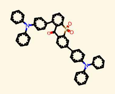 O=C1c2ccc(-c3ccc(N(c4ccccc4)c4ccccc4)cc3)cc2S(=O)(=O)c2cccc(-c3ccc(N(c4ccccc4)c4ccccc4)cc3)c21